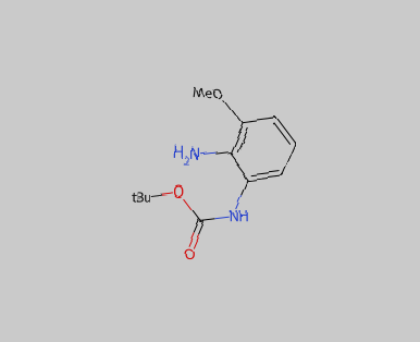 COc1cccc(NC(=O)OC(C)(C)C)c1N